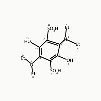 CCN(CC)c1c(O)c(S(=O)(=O)O)c(N(CC)CC)c(O)c1S(=O)(=O)O